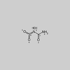 NC(=O)N=S(=O)=O.[KH]